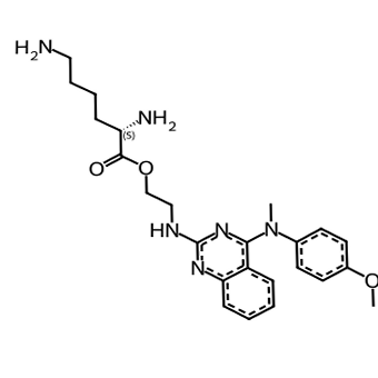 COc1ccc(N(C)c2nc(NCCOC(=O)[C@@H](N)CCCCN)nc3ccccc23)cc1